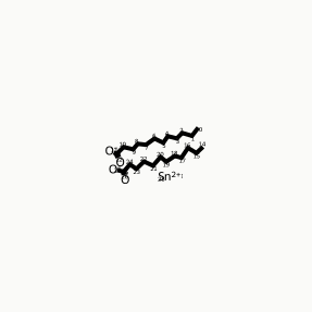 CCCCCCCCCCCC(=O)[O-].CCCCCCCCCCCC(=O)[O-].[Sn+2]